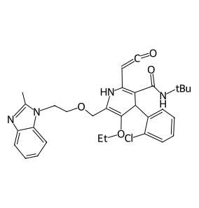 CCOC1=C(COCCn2c(C)nc3ccccc32)NC(C=C=O)=C(C(=O)NC(C)(C)C)C1c1ccccc1Cl